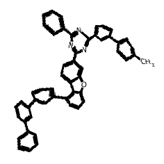 Cc1ccc(-c2cccc(-c3nc(-c4ccccc4)nc(-c4ccc5c(c4)oc4cccc(-c6cccc(-c7cccc(-c8ccccc8)c7)c6)c45)n3)c2)cc1